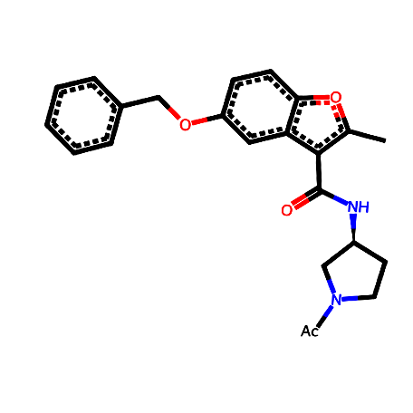 CC(=O)N1CC[C@H](NC(=O)c2c(C)oc3ccc(OCc4ccccc4)cc23)C1